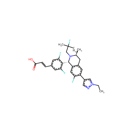 CCn1cc(-c2cc3c(cc2F)[C@H](c2c(F)cc(/C=C/C(=O)O)cc2F)N(CC(C)(C)F)[C@@H](C)C3)cn1